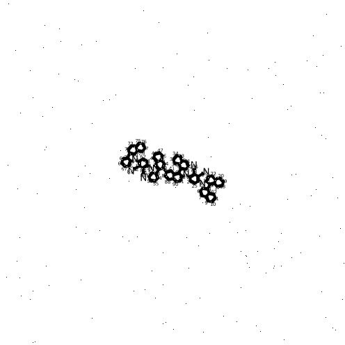 N#Cc1c(-n2c3ccc4ccccc4c3c3c4ccccc4ccc32)ccc(-n2c3ccc4ccccc4c3c3c4cc(-c5cc6ccccc6c6c5c5ccccc5n6-c5ccc(-n6c7ccccc7c7ccc8ccccc8c76)c(C#N)c5C#N)ccc4ccc32)c1C#N